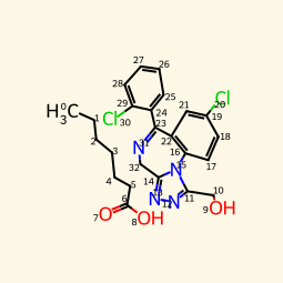 CCCCCCC(=O)O.OCc1nnc2n1-c1ccc(Cl)cc1C(c1ccccc1Cl)=NC2